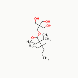 CCCC(CC)(CC)C(CC)(CC)C(=O)OCC(CO)(CO)CO